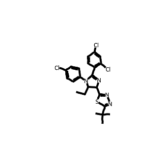 CCC1C(c2nnc(C(C)(C)C)s2)N=C(c2ccc(Cl)cc2Cl)N1c1ccc(Cl)cc1